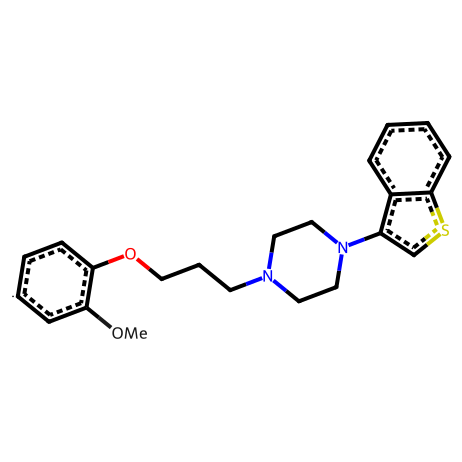 COc1c[c]ccc1OCCCN1CCN(c2csc3ccccc23)CC1